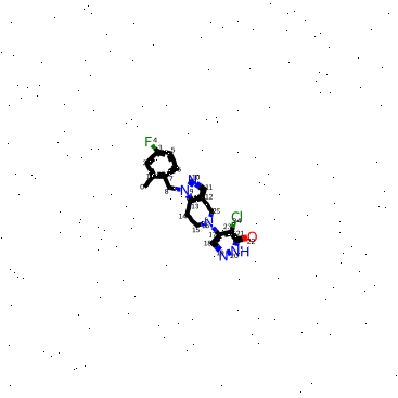 Cc1cc(F)ccc1Cn1ncc2c1CCN(c1cn[nH]c(=O)c1Cl)C2